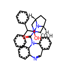 O=C(O)[C@@H]1[C@H]2CC[C@@H](CN1C(=O)N1c3ccccc3C=Nc3ccccc31)N2C(O)C(c1ccccc1)c1ccccc1